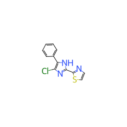 Clc1nc(-c2nccs2)[nH]c1-c1ccccc1